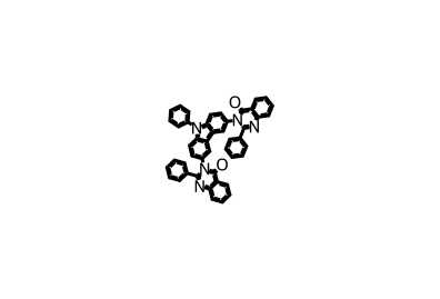 O=c1c2ccccc2nc(-c2ccccc2)n1-c1ccc2c(c1)c1cc(-n3c(-c4ccccc4)nc4ccccc4c3=O)ccc1n2-c1ccccc1